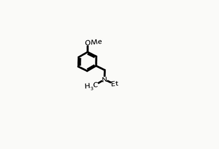 CCN(C)Cc1cccc(OC)c1